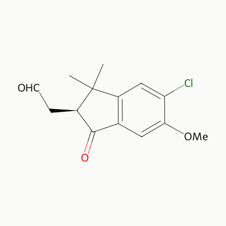 COc1cc2c(cc1Cl)C(C)(C)[C@H](CC=O)C2=O